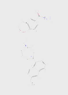 N#Cc1ccc2c(N3CCCN(CC[C@@H]4OCCc5cc(C(N)=O)ccc54)CC3)cccc2c1